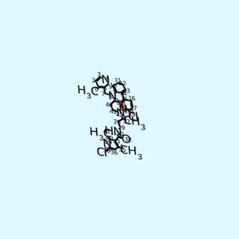 Cc1ccncc1CN(c1ccccc1-c1ccc(Cl)nc1)C1CCN(C(C)CCNC(=O)c2c(C)cc(Cl)nc2C)CC1